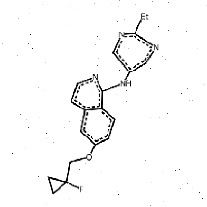 CCc1ncc(Nc2nccc3cc(OCC4(F)CC4)ccc23)cn1